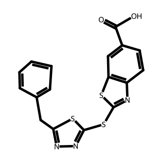 O=C(O)c1ccc2nc(Sc3nnc(Cc4ccccc4)s3)sc2c1